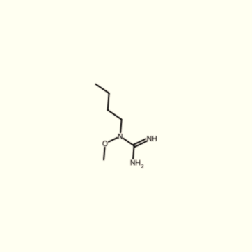 CCCCN(OC)C(=N)N